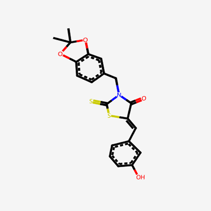 CC1(C)Oc2ccc(CN3C(=O)C(=Cc4cccc(O)c4)SC3=S)cc2O1